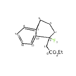 CCOC(=O)CC1(F)CCCc2ccccc21